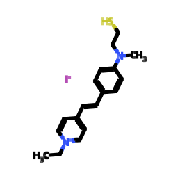 CC[n+]1ccc(/C=C/c2ccc(N(C)CCS)cc2)cc1.[I-]